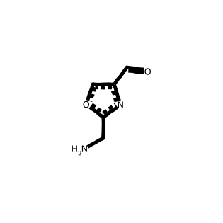 NCc1nc(C=O)co1